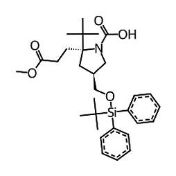 COC(=O)CC[C@@]1(C(C)(C)C)C[C@H](CO[Si](c2ccccc2)(c2ccccc2)C(C)(C)C)CN1C(=O)O